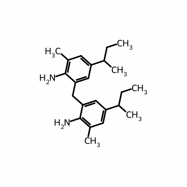 CCC(C)c1cc(C)c(N)c(Cc2cc(C(C)CC)cc(C)c2N)c1